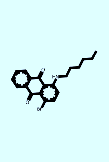 CCCCCCNc1ccc(Br)c2c1C(=O)c1ccccc1C2=O